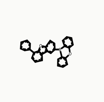 c1ccc(-c2cccc3c2oc2ccc(B4c5ccccc5Oc5ccccc54)cc23)cc1